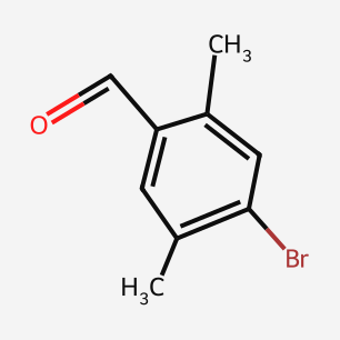 Cc1cc(C=O)c(C)cc1Br